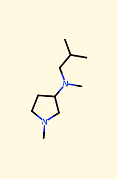 CC(C)CN(C)C1CCN(C)C1